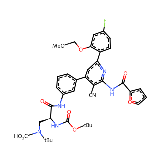 COCOc1cc(F)ccc1-c1cc(-c2cccc(NC(=O)[C@H](CN(C(=O)O)C(C)(C)C)NC(=O)OC(C)(C)C)c2)c(C#N)c(NC(=O)c2ccco2)n1